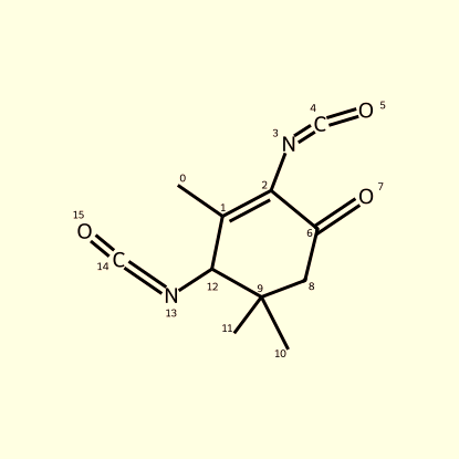 CC1=C(N=C=O)C(=O)CC(C)(C)C1N=C=O